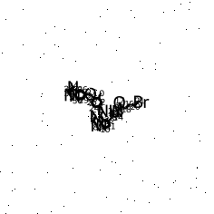 Cc1cc(Nc2ncnn3ccc(C4CN(C(=O)/C=C/CBr)C4)c23)ccc1Oc1ccn2ncnc2c1